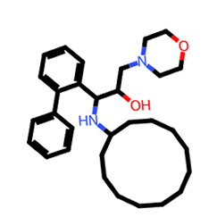 OC(CN1CCOCC1)C(NC1CCCCCCCCCCC1)c1ccccc1-c1ccccc1